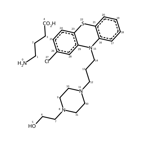 NCCCC(=O)O.OCCN1CCN(CCCN2c3ccccc3Sc3ccc(Cl)cc32)CC1